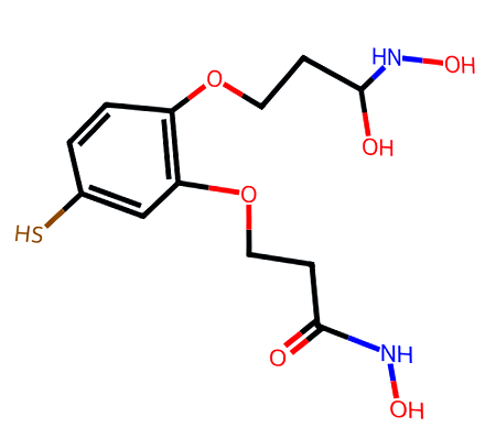 O=C(CCOc1cc(S)ccc1OCCC(O)NO)NO